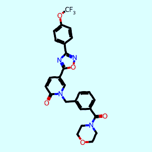 O=C(c1cccc(Cn2cc(-c3nc(-c4ccc(OC(F)(F)F)cc4)no3)ccc2=O)c1)N1CCOCC1